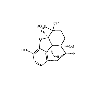 O=S(=O)(O)C1(O)CC[C@@]2(O)[C@H]3Cc4ccc(O)c5c4[C@@]2(CCN3)[C@H]1O5